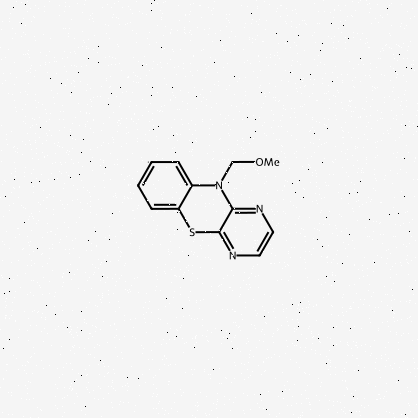 COCN1c2c[c]ccc2Sc2nccnc21